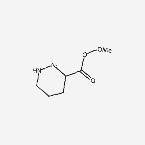 COOC(=O)C1CCCN[N]1